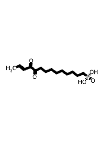 CC=CC(=O)C(=O)CCCCCCCCCP(=O)(O)O